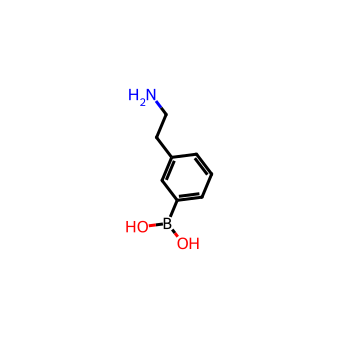 NCCc1cccc(B(O)O)c1